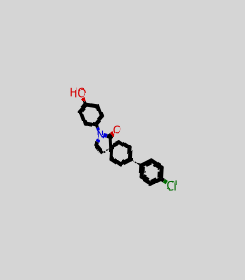 O=C1N(C2CCC(O)CC2)CC[C@]12CC[C@@H](c1ccc(Cl)cc1)CC2